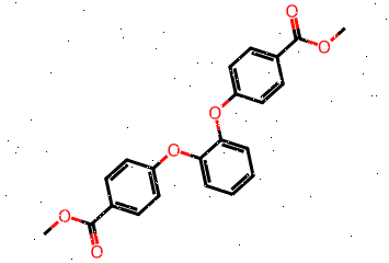 COC(=O)c1ccc(Oc2ccccc2Oc2ccc(C(=O)OC)cc2)cc1